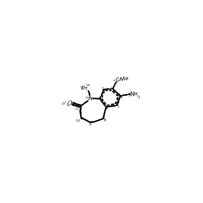 COc1cc2c(cc1N)CCCC(=O)N2C(C)C